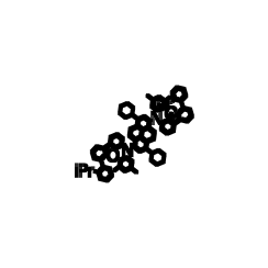 Cc1cc(C)cc(N(c2cc(C3CCCCC3)c3ccc4c(N(c5cc(C)cc(C)c5)c5cccc6c5oc5c(-c7ccccc7C(C)C)cccc56)cc(C5CCCCC5)c5ccc2c3c54)c2cccc3c2oc2c(-c4ccccc4C(C)C)cccc23)c1